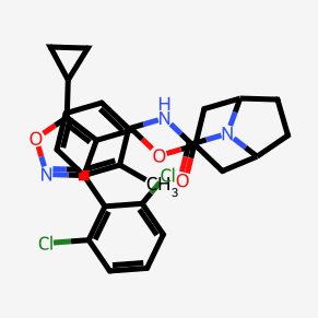 Cc1ccccc1NC(=O)N1C2CCC1CC(OCc1c(-c3c(Cl)cccc3Cl)noc1C1CC1)C2